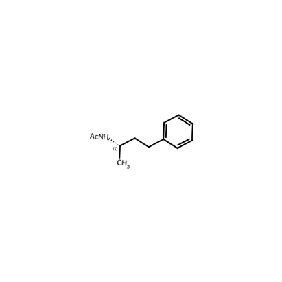 CC(=O)N[C@@H](C)CCc1ccccc1